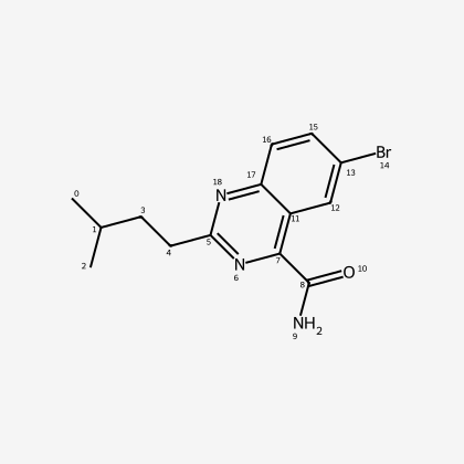 CC(C)CCc1nc(C(N)=O)c2cc(Br)ccc2n1